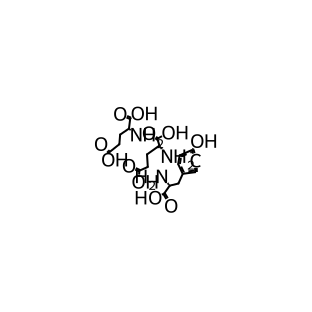 N[C@@H](CCC(=O)O)C(=O)O.N[C@@H](CCC(=O)O)C(=O)O.N[C@@H](Cc1ccc(O)cc1)C(=O)O